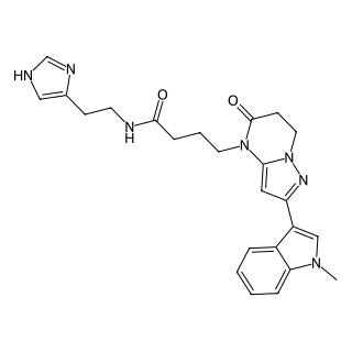 Cn1cc(-c2cc3n(n2)CCC(=O)N3CCCC(=O)NCCc2c[nH]cn2)c2ccccc21